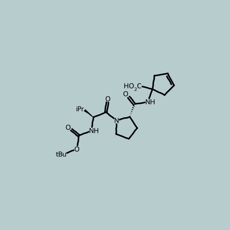 CC(C)[C@H](NC(=O)OC(C)(C)C)C(=O)N1CCC[C@H]1C(=O)NC1(C(=O)O)CC=CC1